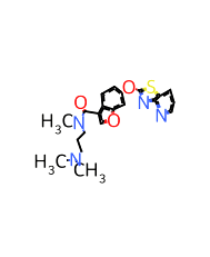 CN(C)CCCN(C)C(=O)c1coc2cc(Oc3nc4ncccc4s3)ccc12